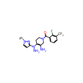 CC(C)n1ccc(N(N)C2=C(N)CN(C(=O)c3cccc(C(F)(F)F)c3F)CC2)n1